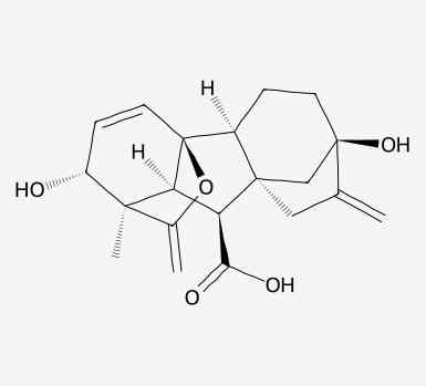 C=C1C[C@@]23C[C@]1(O)CC[C@@H]2[C@]12C=C[C@@H](O)[C@](C)(C(=C)O1)[C@@H]2[C@@H]3C(=O)O